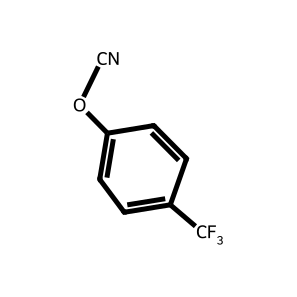 N#COc1ccc(C(F)(F)F)cc1